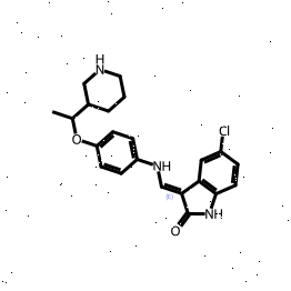 CC(Oc1ccc(N/C=C2/C(=O)Nc3ccc(Cl)cc32)cc1)C1CCCNC1